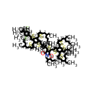 CCCCC(CC)Cc1ccc(-c2c3cc(C(C)(C)C(C)(C)c4sc(-c5cc6c(-c7ccc(CC(CC)CCCC)s7)c7sc(C(C)(C)C)cc7c(-c7ccc(CC(CC)CCCC)s7)c6s5)c5c4C(=O)N(CC(CC)CCCC)C5=O)sc3c(-c3ccc(CC(CC)CCCC)s3)c3cc(-c4cc(F)c(C(C)(C)C)cc4F)sc23)s1